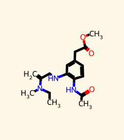 C=C(CNc1cc(CC(=O)OC)ccc1NC(C)=O)N(C)CC